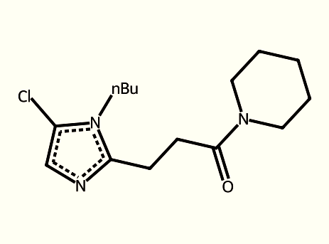 CCCCn1c(Cl)cnc1CCC(=O)N1CCCCC1